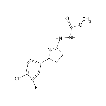 COC(=O)NNC1=NC(c2ccc(Cl)c(F)c2)CC1